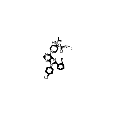 CC(C)NC1(OC(N)=O)CCN(c2ncnc3c2nc(-c2ccccc2F)n3-c2ccc(Cl)cc2)CC1